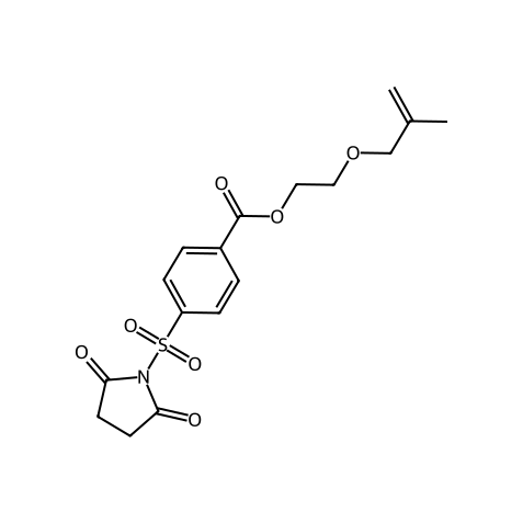 C=C(C)COCCOC(=O)c1ccc(S(=O)(=O)N2C(=O)CCC2=O)cc1